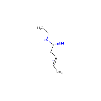 C/C=C/CC(=N)NCC